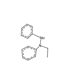 CCN(Nc1ccccc1)c1ccccc1